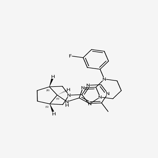 Cc1cc(N2C[C@H]3CC[C@@H](C2)[C@@H]3Nc2nc3n(n2)CCCN3c2cccc(F)c2)ncn1